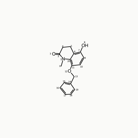 CN1C(=O)CCc2c(O)ccc(OCc3ccccc3)c21